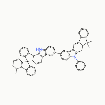 CC1CC=CC2=C1c1ccccc1C21c2ccccc2C2c3[nH]c4ccc(-c5ccc6c(c5)c5c(n6-c6ccccc6)CC6C(=C5)c5ccccc5C6(C)C)cc4c3C=CC21